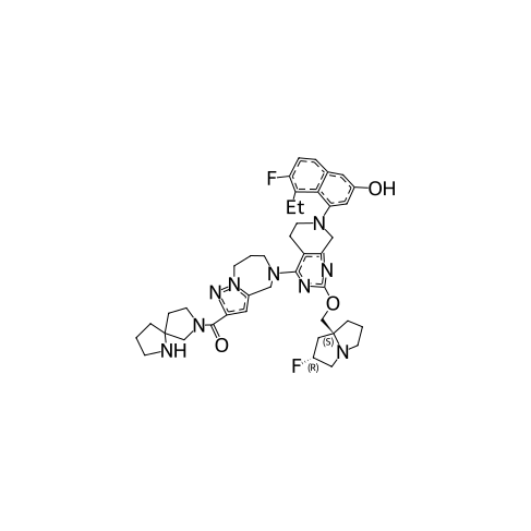 CCc1c(F)ccc2cc(O)cc(N3CCc4c(nc(OC[C@@]56CCCN5C[C@H](F)C6)nc4N4CCCn5nc(C(=O)N6CCC7(CCCN7)C6)cc5C4)C3)c12